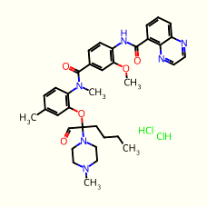 CCCCC(C=O)(Oc1cc(C)ccc1N(C)C(=O)c1ccc(NC(=O)c2cccc3nccnc23)c(OC)c1)N1CCN(C)CC1.Cl.Cl